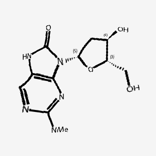 CNc1ncc2[nH]c(=O)n([C@@H]3C[C@@H](O)[C@H](CO)O3)c2n1